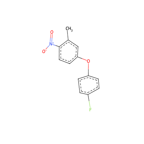 Cc1cc(Oc2ccc(F)cc2)ccc1[N+](=O)[O-]